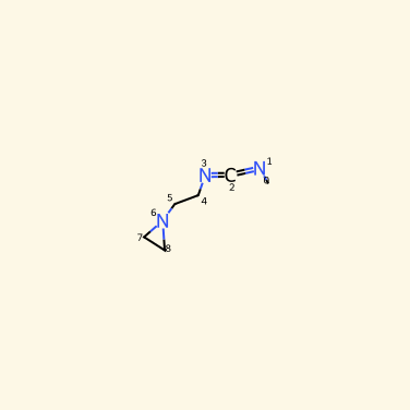 CN=C=NCCN1CC1